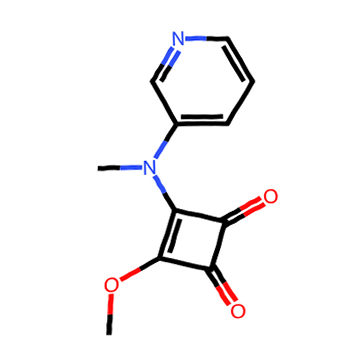 COc1c(N(C)c2cccnc2)c(=O)c1=O